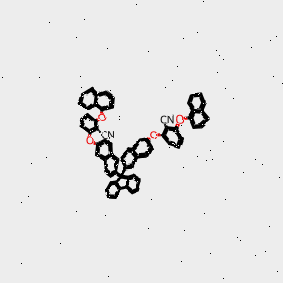 N#Cc1c(Oc2ccc3cc(C4(c5ccc6cc(Oc7cccc(Oc8cccc9ccccc89)c7C#N)ccc6c5)c5ccccc5-c5ccccc54)ccc3c2)cccc1Oc1cccc2ccccc12